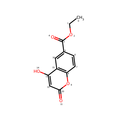 CCOC(=O)c1ccc2oc(=O)cc(O)c2c1